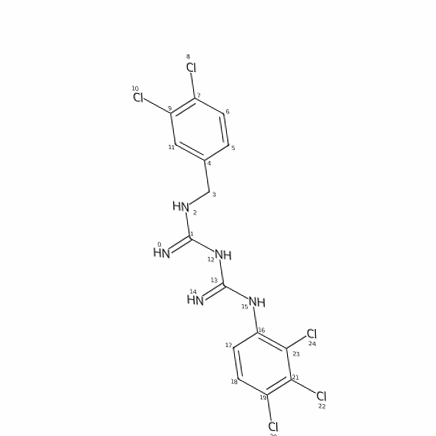 N=C(NCc1ccc(Cl)c(Cl)c1)NC(=N)Nc1ccc(Cl)c(Cl)c1Cl